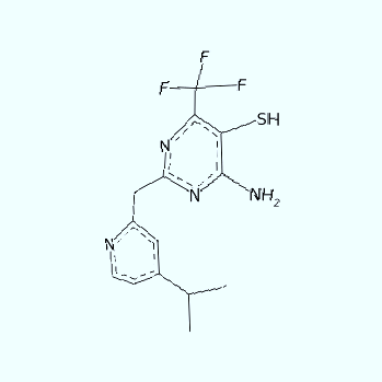 CC(C)c1ccnc(Cc2nc(N)c(S)c(C(F)(F)F)n2)c1